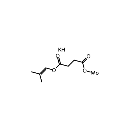 CC(C)=COC(=O)CCC(=O)[O][Mo].[KH]